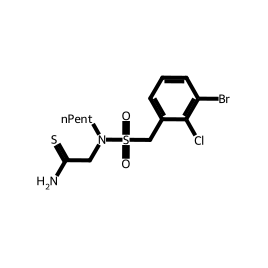 CCCCCN(CC(N)=S)S(=O)(=O)Cc1cccc(Br)c1Cl